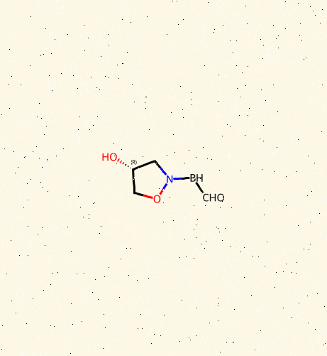 O=CBN1C[C@@H](O)CO1